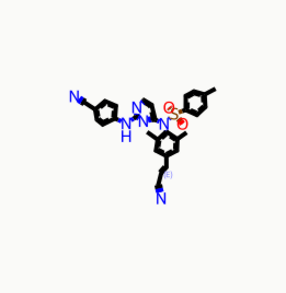 Cc1ccc(S(=O)(=O)N(c2ccnc(Nc3ccc(C#N)cc3)n2)c2c(C)cc(/C=C/C#N)cc2C)cc1